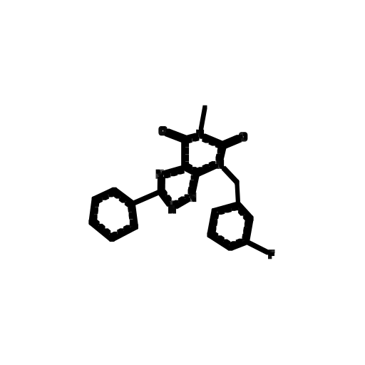 Cn1c(=O)c2nc(-c3ccccc3)nnc2n(Cc2cccc(F)c2)c1=O